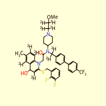 [2H]C1=C(SCc2cccc(F)c2F)N(CC(=O)N(C2CCN(C([2H])([2H])C([2H])([2H])OC)CC2)C([2H])([2H])c2ccc(-c3ccc(C(F)(F)F)cc3)cc2)c2c([2H])c([2H])c(C)c([2H])c2C1O